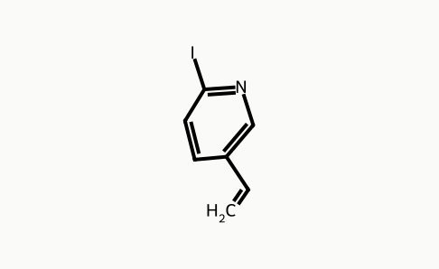 C=Cc1ccc(I)nc1